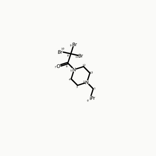 CC(C)CN1CCN(C(=O)C(Br)(Br)Br)CC1